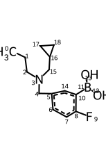 CCCN(Cc1ccc(F)c(B(O)O)c1)CC1CC1